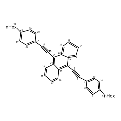 CCCCCCc1ccc(C#Cc2c3ccccc3c(C#Cc3ccc(CCCCCC)cc3)c3ccccc23)cc1